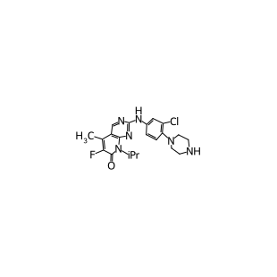 Cc1c(F)c(=O)n(C(C)C)c2nc(Nc3ccc(N4CCNCC4)c(Cl)c3)ncc12